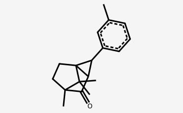 Cc1cccc(C2C3C(=O)C4(C)CCC32C4(C)C)c1